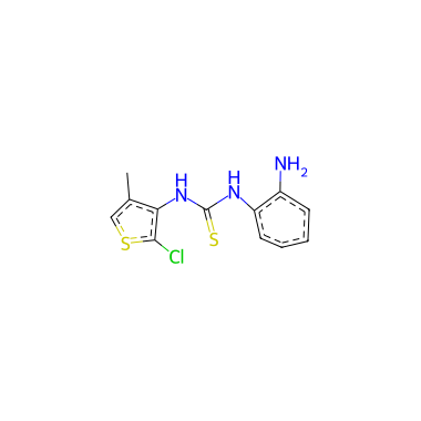 Cc1csc(Cl)c1NC(=S)Nc1ccccc1N